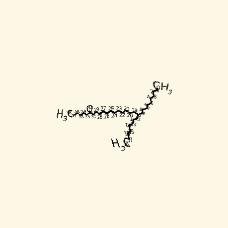 CCCCCCCCCCC(CCCCCCCC)CCCCCCCCCCCCC(=O)CCCCCC